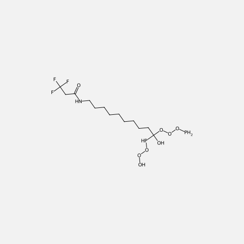 O=C(CC(F)(F)F)NCCCCCCCCCC(O)(OOOP)POOO